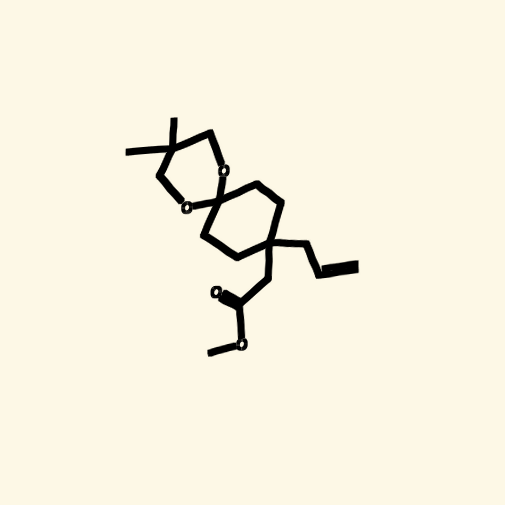 C=CCC1(CC(=O)OC)CCC2(CC1)OCC(C)(C)CO2